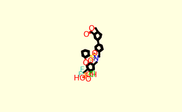 COc1ccccc1S(=O)(=O)N(Cc1ccc(-c2ccc3c(c2)C(=O)OC3)cc1)Cc1ccc(C(F)(F)P(=O)(O)O)c(Cl)c1